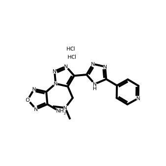 CN(C)Cc1c(-c2nnc(-c3ccncc3)[nH]2)nnn1-c1nonc1N.Cl.Cl